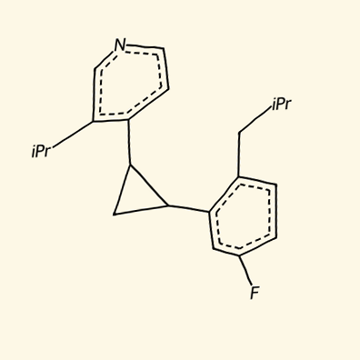 CC(C)Cc1ccc(F)cc1C1CC1c1ccncc1C(C)C